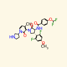 COc1cc(F)c([C@@H]2CN(c3c(C)ccn(C4CCNC4)c3=O)C(=O)[C@H]2NC(=O)c2ccc(OC(F)F)cc2)c(F)c1